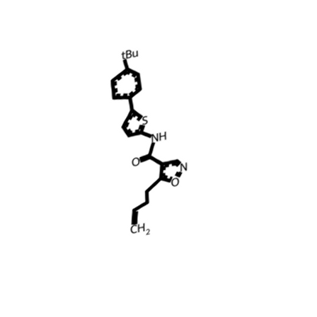 C=CCCc1oncc1C(=O)Nc1ccc(-c2ccc(C(C)(C)C)cc2)s1